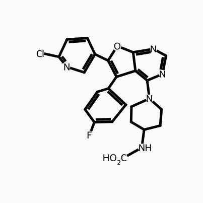 O=C(O)NC1CCN(c2ncnc3oc(-c4ccc(Cl)nc4)c(-c4ccc(F)cc4)c23)CC1